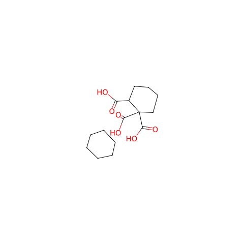 C1CCCCC1.O=C(O)C1CCCCC1(C(=O)O)C(=O)O